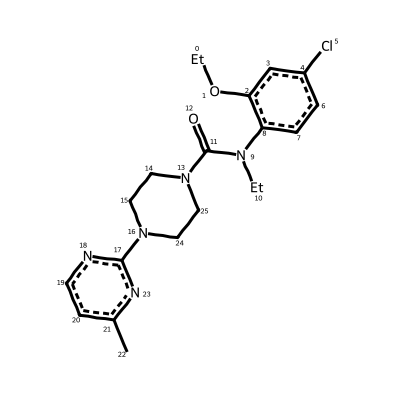 CCOc1cc(Cl)ccc1N(CC)C(=O)N1CCN(c2nccc(C)n2)CC1